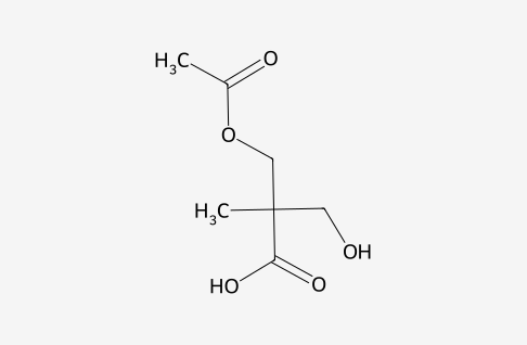 CC(=O)OCC(C)(CO)C(=O)O